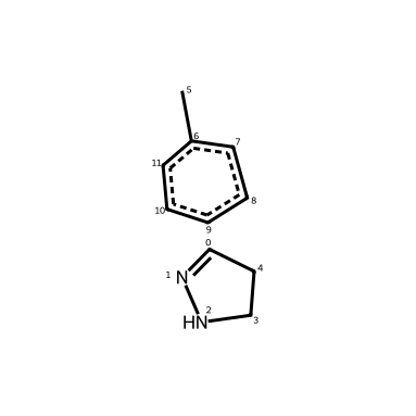 C1=NNCC1.Cc1ccccc1